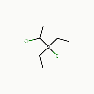 CC[Si](Cl)(CC)C(C)Cl